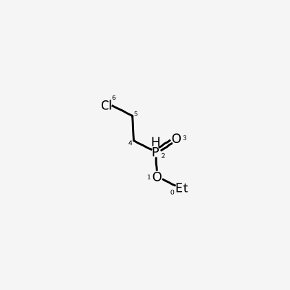 CCO[PH](=O)CCCl